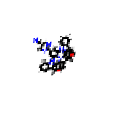 N#Cc1cnc(-c2cc(-n3c4ccccc4c4ccccc43)c(-n3c4ccccc4c4ccccc43)c(-n3c4ccccc4c4ccccc43)c2)nc1